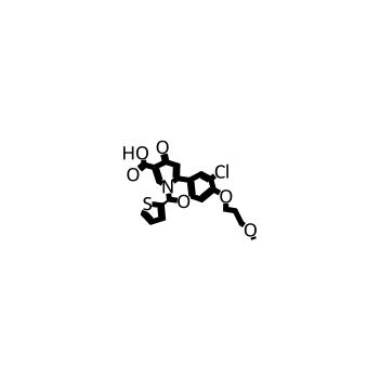 COCCCOc1cc2c(cc1Cl)-c1cc(=O)c(C(=O)O)cn1[C@H](c1cccs1)O2